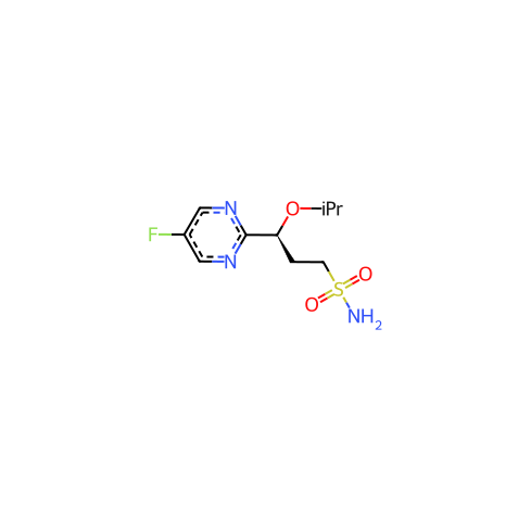 CC(C)O[C@@H](CCS(N)(=O)=O)c1ncc(F)cn1